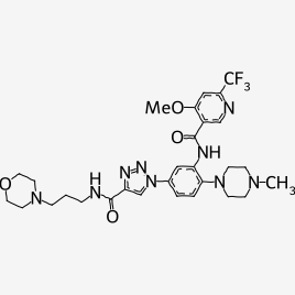 COc1cc(C(F)(F)F)ncc1C(=O)Nc1cc(-n2cc(C(=O)NCCCN3CCOCC3)nn2)ccc1N1CCN(C)CC1